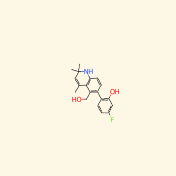 CC1=CC(C)(C)Nc2ccc(-c3ccc(F)cc3O)c(CO)c21